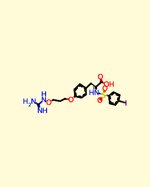 N=C(N)NOCCCOc1ccc(C[C@H](NS(=O)(=O)c2ccc(I)cc2)C(=O)O)cc1